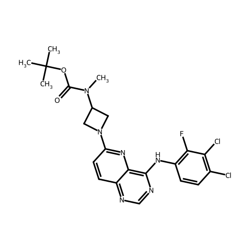 CN(C(=O)OC(C)(C)C)C1CN(c2ccc3ncnc(Nc4ccc(Cl)c(Cl)c4F)c3n2)C1